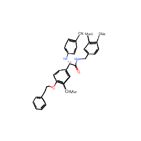 COc1ccc(CNC(=O)[C@@H](Nc2ccc(C#N)cc2)c2ccc(OCc3ccccc3)c(OC)c2)cc1OC